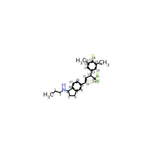 CCCNC1CCc2cc(/C=C/C(c3cc(C)c(F)c(C)c3)C(F)(F)F)ccc21